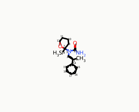 CC(=CN(C(N)=O)C1([SiH3])CCCCO1)c1ccccc1